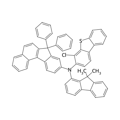 CC1(C)c2ccccc2-c2cccc(N(c3ccc4c(c3)C(c3ccccc3)(c3ccccc3)c3ccc5ccccc5c3-4)c3ccc4c(sc5ccccc54)c3Cl)c21